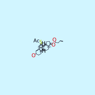 C=CCC(=O)O[C@H]1CC[C@H]2[C@@H]3[C@H](SC(C)=O)CC4=CC(=O)CC[C@]4(C)[C@H]3CC[C@]12C